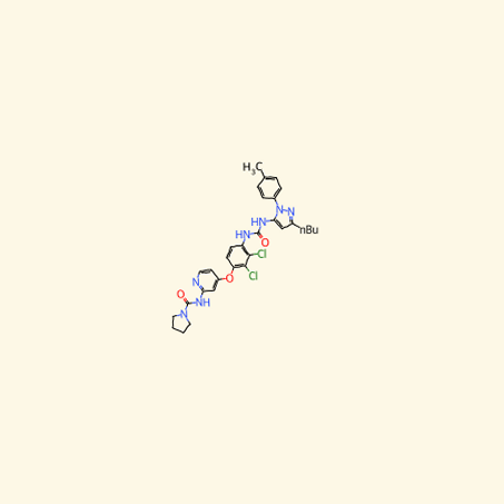 CCCCc1cc(NC(=O)Nc2ccc(Oc3ccnc(NC(=O)N4CCCC4)c3)c(Cl)c2Cl)n(-c2ccc(C)cc2)n1